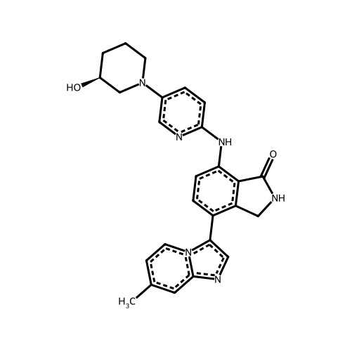 Cc1ccn2c(-c3ccc(Nc4ccc(N5CCC[C@H](O)C5)cn4)c4c3CNC4=O)cnc2c1